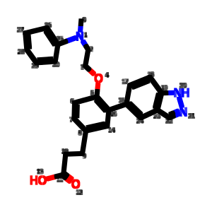 CN(CCOc1ccc(CCC(=O)O)cc1-c1ccc2[nH]ncc2c1)c1ccccc1